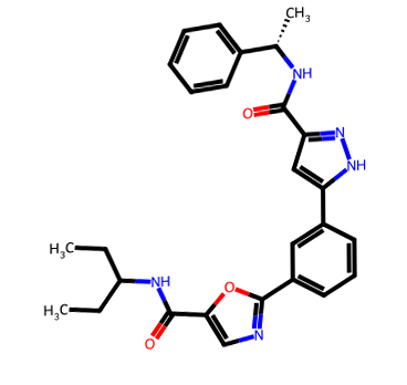 CCC(CC)NC(=O)c1cnc(-c2cccc(-c3cc(C(=O)N[C@@H](C)c4ccccc4)n[nH]3)c2)o1